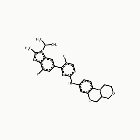 Cc1nc2c(F)cc(-c3nc(Nc4ccc5c(c4)OCC4COCCN54)ncc3F)cc2n1C(C)C